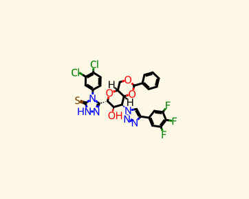 O[C@@H]1[C@@H](n2cc(-c3cc(F)c(F)c(F)c3)nn2)[C@H]2OC(c3ccccc3)OC[C@H]2O[C@H]1c1n[nH]c(=S)n1-c1ccc(Cl)c(Cl)c1